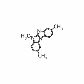 Cc1ccc2c(c1)nc1n(C)c3ccc(C)cc3n21